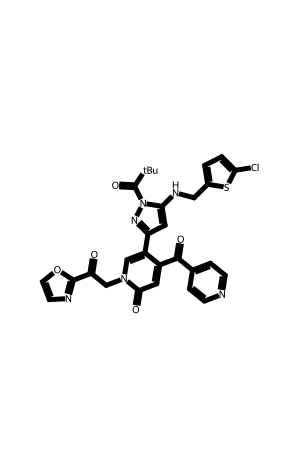 CC(C)(C)C(=O)n1nc(-c2cn(CC(=O)c3ncco3)c(=O)cc2C(=O)c2ccncc2)cc1NCc1ccc(Cl)s1